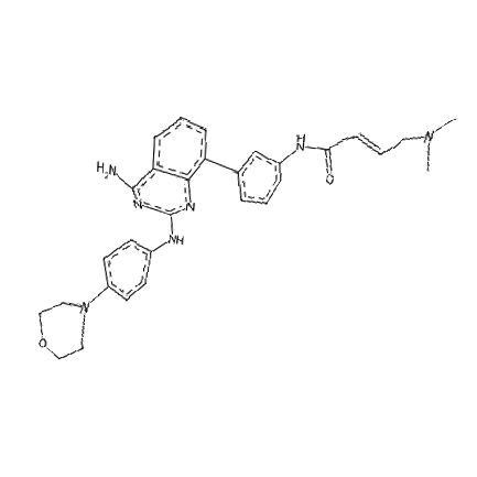 CN(C)CC=CC(=O)Nc1cccc(-c2cccc3c(N)nc(Nc4ccc(N5CCOCC5)cc4)nc23)c1